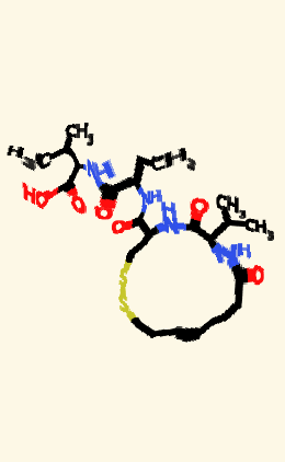 C/C=C(\NC(=O)C1CSSCC/C=C/CCC(=O)NC(C(C)C)C(=O)N1)C(=O)N[C@H](C(=O)O)C(C)C